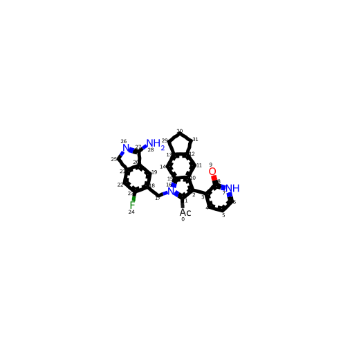 CC(=O)c1c(-c2ccc[nH]c2=O)c2cc3c(cc2n1Cc1cc2c(cc1F)CN=C2N)CCC3